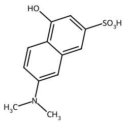 CN(C)c1ccc2c(O)cc(S(=O)(=O)O)cc2c1